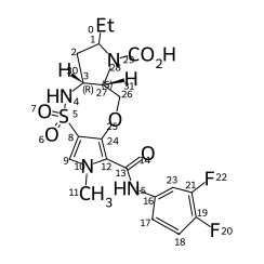 CCC1C[C@H]2NS(=O)(=O)c3cn(C)c(C(=O)Nc4ccc(F)c(F)c4)c3OC[C@H]2N1C(=O)O